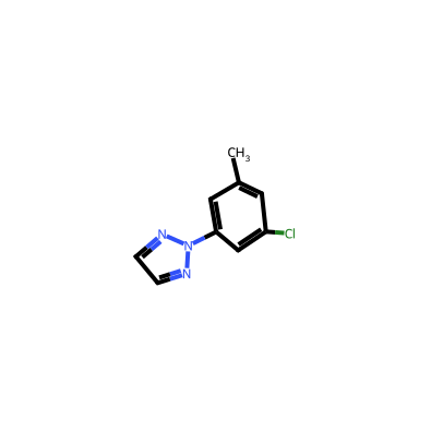 Cc1cc(Cl)cc(-n2nccn2)c1